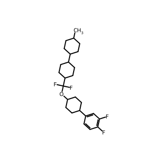 CC1CCC(C2CCC(C(F)(F)OC3CCC(c4ccc(F)c(F)c4)CC3)CC2)CC1